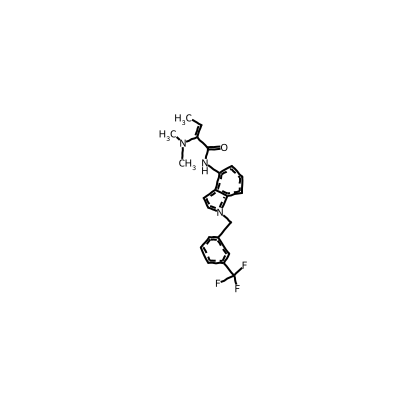 CC=C(C(=O)Nc1cccc2c1ccn2Cc1cccc(C(F)(F)F)c1)N(C)C